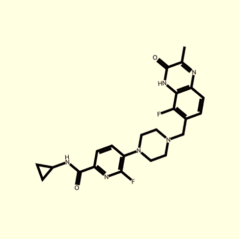 Cc1nc2ccc(CN3CCN(c4ccc(C(=O)NC5CC5)nc4F)CC3)c(F)c2[nH]c1=O